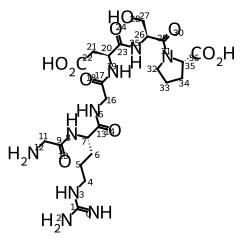 N=C(N)NCCC[C@H](NC(=O)CN)C(=O)NCC(=O)N[C@@H](CC(=O)O)C(=O)N[C@@H](CO)C(=O)N1CCC[C@H]1C(=O)O